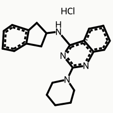 Cl.c1ccc2c(c1)CC(Nc1nc(N3CCCCC3)nc3ccccc13)C2